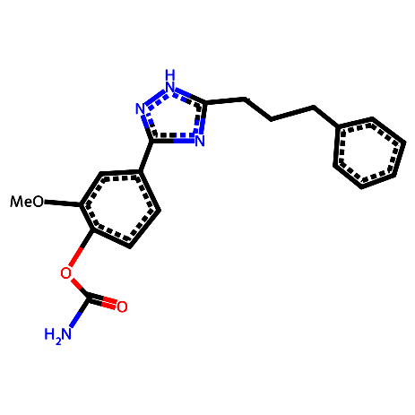 COc1cc(-c2n[nH]c([CH]CCc3ccccc3)n2)ccc1OC(N)=O